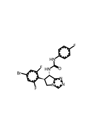 O=C(Nc1ccc(F)cc1)N[C@@H]1c2nncn2C[C@H]1c1c(F)cc(Br)cc1F